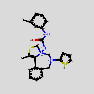 CC1=C2c3ccccc3CN(c3cccs3)C[N+]2(NC(=O)Nc2cccc(C)c2)CS1